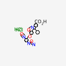 CN(C)CC(=O)N(C)c1ccc(N2CCOCC2)c(COc2ccc3c(c2)OCCn2c-3c(C3CCCCC3)c3ccc(C(=O)O)cc32)c1.Cl.Cl